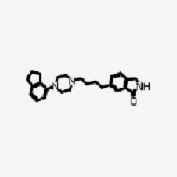 O=C1NCc2ccc(CCCCN3CCN(c4cccc5c4CCC5)CC3)cc21